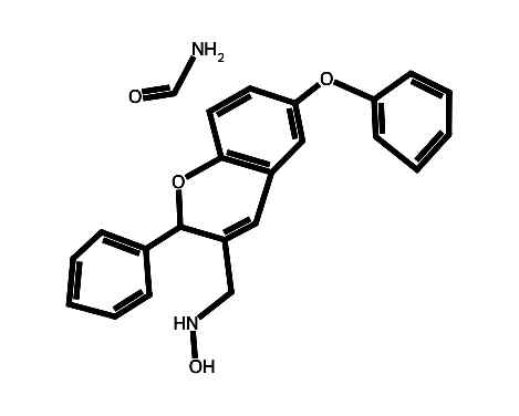 NC=O.ONCC1=Cc2cc(Oc3ccccc3)ccc2OC1c1ccccc1